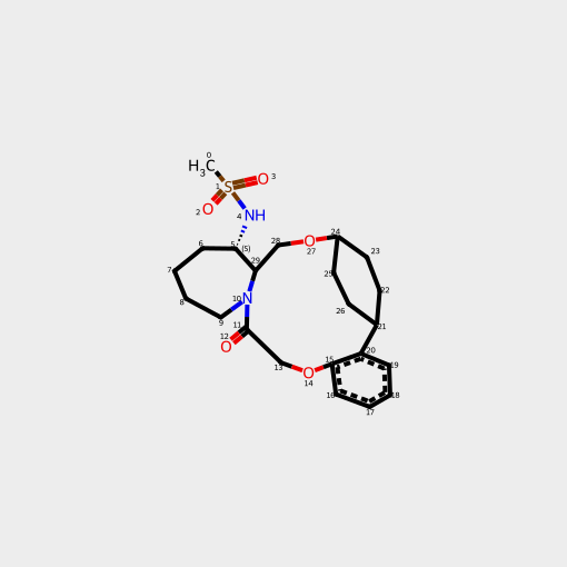 CS(=O)(=O)N[C@H]1CCCCN2C(=O)COc3ccccc3C3CCC(CC3)OCC12